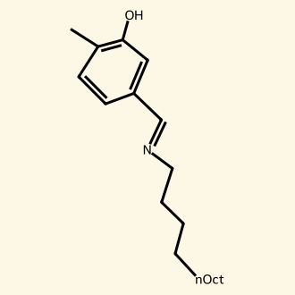 CCCCCCCCCCCC/N=C/c1ccc(C)c(O)c1